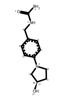 BC(=O)NCc1ccc(N2CC[C@@H](O)C2)cc1